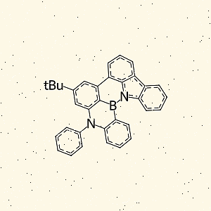 CC(C)(C)c1cc2c3c(c1)N(c1ccccc1)c1ccccc1B3n1c3ccccc3c3cccc-2c31